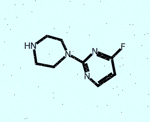 Fc1ccnc(N2CCNCC2)n1